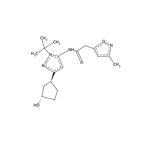 Cc1cc(CC(=O)Nc2cc([C@H]3CC[C@H](O)C3)nn2C(C)(C)C)on1